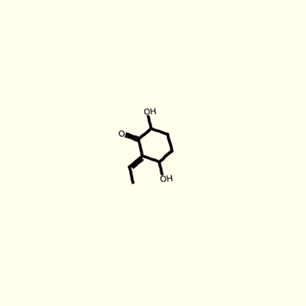 C/C=C1/C(=O)C(O)CCC1O